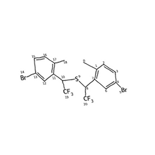 Cc1ccc(Br)cc1C(SC(c1cc(Br)ccc1C)C(F)(F)F)C(F)(F)F